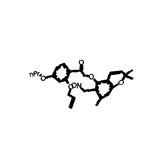 C=CCOc1cc(OCCC)ccc1C(=O)COc1c2c(cc(C)c1CN=O)OC(C)(C)C=C2